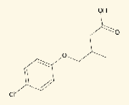 CC(COc1ccc(Cl)cc1)CC(=O)O